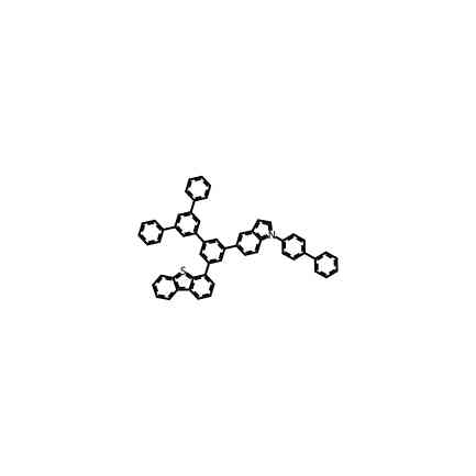 c1ccc(-c2ccc(-n3ccc4cc(-c5cc(-c6cc(-c7ccccc7)cc(-c7ccccc7)c6)cc(-c6cccc7c6sc6ccccc67)c5)ccc43)cc2)cc1